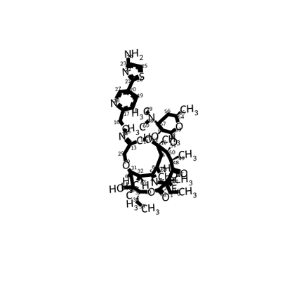 CCC(=O)/N=C1\[C@H](C)C[C@@]2(C)OCC(=NOCc3ccc(-c4nc(N)cs4)cn3)CO[C@H]([C@H]1C)[C@](C)(O)[C@@H](CC)OC(=O)[C@@](C)(F)C(=O)[C@H](C)[C@H]2O[C@@H]1O[C@H](C)C[C@H](N(C)C)[C@H]1O